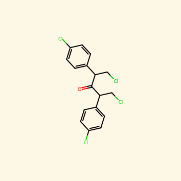 O=C(C(CCl)c1ccc(Cl)cc1)C(CCl)c1ccc(Cl)cc1